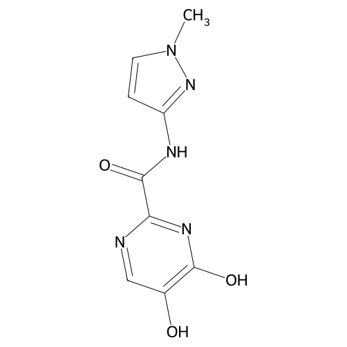 Cn1ccc(NC(=O)c2ncc(O)c(O)n2)n1